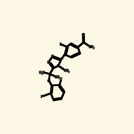 Cn1c(-c2ccc(C(N)=O)cc2F)nnc1C(C)(C)Oc1c(F)cccc1F